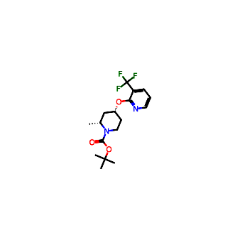 C[C@@H]1C[C@H](Oc2ncccc2C(F)(F)F)CCN1C(=O)OC(C)(C)C